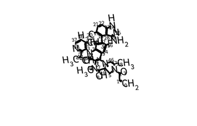 C=CC(=O)N1C[C@@H]2C(=O)N(C)c3c(c4cc(F)c(-c5c(C)ccc6[nH]nc(N)c56)c(F)c4n(-c4c(C)ccnc4C(C)C)c3=O)N2C[C@H]1C